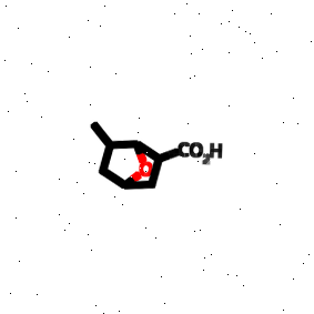 CC1CC2CC(C(=O)O)C1O2